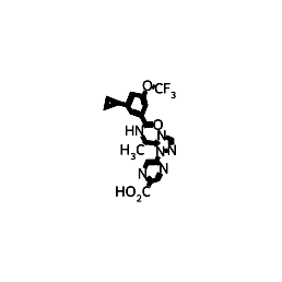 CC(NC(=O)c1cc(OC(F)(F)F)cc(C2CC2)c1)c1ncnn1-c1cnc(C(=O)O)cn1